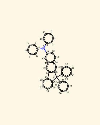 c1ccc(N(c2ccccc2)c2ccc3cc4c(cc3c2)-c2ccccc2C4(c2ccccc2)c2ccccc2)cc1